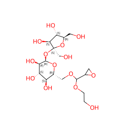 OCCOC(OC[C@H]1O[C@H](O[C@]2(CO)O[C@H](CO)[C@@H](O)[C@@H]2O)[C@H](O)[C@@H](O)[C@@H]1O)C1CO1